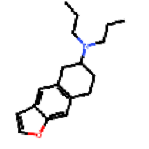 CCCN(CCC)C1CCc2cc3occc3cc2C1